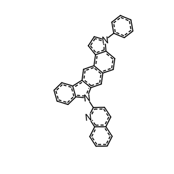 c1ccc(-n2ccc3c4cc5c6ccccc6n(-c6ccc7ccccc7n6)c5cc4ccc32)cc1